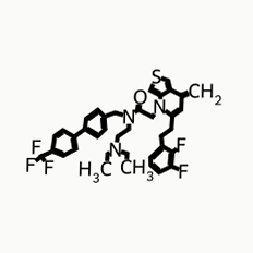 C=C1C=C(CCc2cccc(F)c2F)N(CC(=O)N(CCN(CC)CC)Cc2ccc(-c3ccc(C(F)(F)F)cc3)cc2)c2cscc21